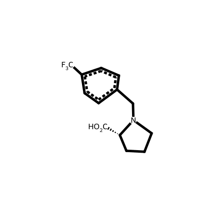 O=C(O)[C@H]1CCCN1Cc1ccc(C(F)(F)F)cc1